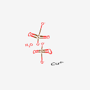 O.O=S(=O)([O-])[O-].O=S(=O)([O-])[O-].[Cu+4]